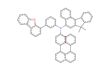 CC1(C)c2ccccc2-c2c1cc(N(c1ccc(-c3cccc4cccc(-c5ccccc5)c34)cc1)c1cccc(-c3cccc4c3oc3ccccc34)c1)c1ccccc21